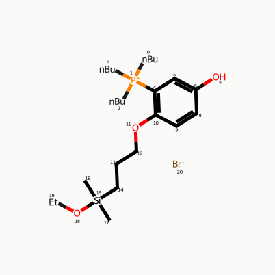 CCCC[P+](CCCC)(CCCC)c1cc(O)ccc1OCCC[Si](C)(C)OCC.[Br-]